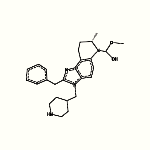 COC(O)N1c2ccc3c(nc(Cc4ccccc4)n3CC3CCNCC3)c2CC[C@@H]1C